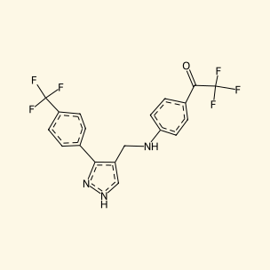 O=C(c1ccc(NCc2c[nH]nc2-c2ccc(C(F)(F)F)cc2)cc1)C(F)(F)F